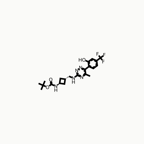 Cc1nc(NC[C@H]2C[C@H](NC(=O)OC(C)(C)C)C2)nnc1-c1ccc(C(F)(F)F)cc1O